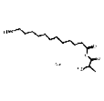 CCCCCCCCCCCCCCCCCCCCCC(=O)OC(=O)C(C)O.[Na]